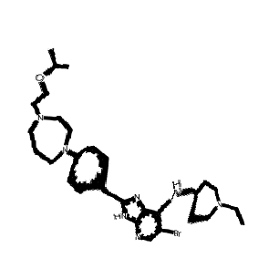 CCN1CCC(Nc2c(Br)cnc3[nH]c(-c4ccc(N5CCCN(CCOC(C)C)CC5)cc4)nc23)CC1